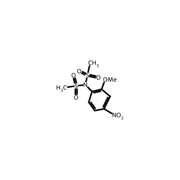 COc1cc([N+](=O)[O-])ccc1N(S(C)(=O)=O)S(C)(=O)=O